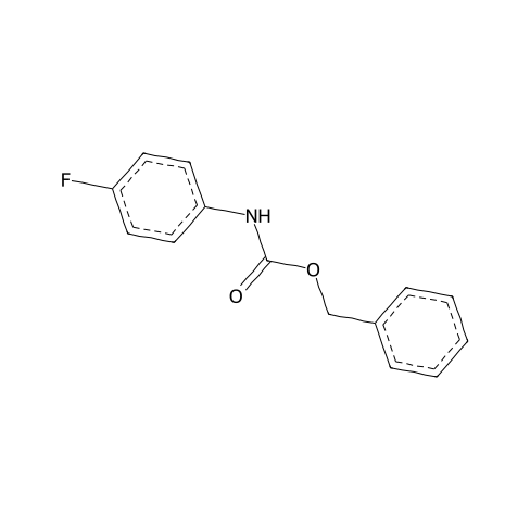 O=C(Nc1ccc(F)cc1)OCc1ccccc1